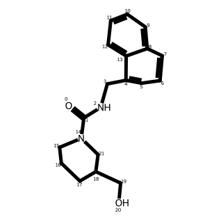 O=C(NCc1cccc2ccccc12)N1CCCC(CO)C1